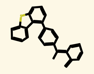 C=c1cccc/c1=C(/C)c1ccc(-c2cccc3sc4ccccc4c23)cc1